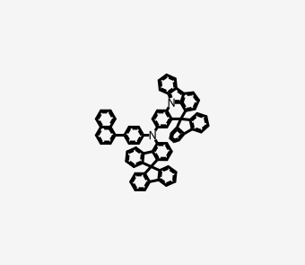 c1ccc2c(c1)-c1ccccc1C21c2ccccc2-c2c(N(c3ccc(-c4cccc5ccccc45)cc3)c3ccc4c(c3)C3(c5ccccc5-c5ccccc53)c3cccc5c6ccccc6n-4c35)cccc21